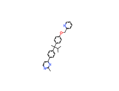 Cc1nccc(-c2ccc(C(C)(c3ccc(OCc4ccccn4)cc3)C(C)C)cc2)n1